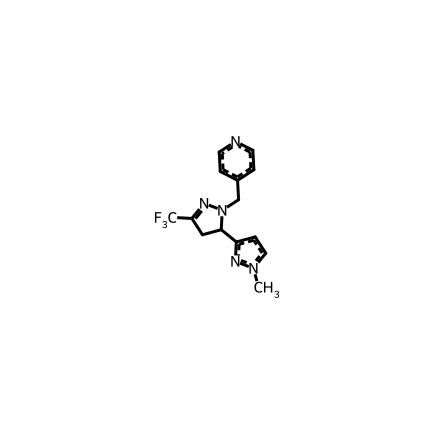 Cn1ccc(C2CC(C(F)(F)F)=NN2Cc2ccncc2)n1